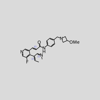 C/C=C(\C=N/C)c1c(F)cncc1/C=C/C(=O)Nc1ccc(CN2CC(OC)C2)cc1